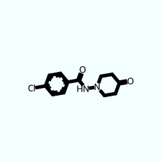 O=C1CCN(NC(=O)c2ccc(Cl)cc2)CC1